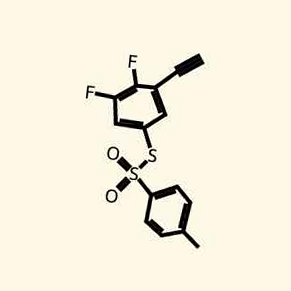 C#Cc1cc(SS(=O)(=O)c2ccc(C)cc2)cc(F)c1F